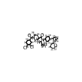 CC(C)Nc1nc2c(c(=O)n1-c1ccc(-c3cncn3C3CCCCO3)cc1)C[C@@H](C)N(C(=O)c1ccc(Cl)c(Cl)c1)C2